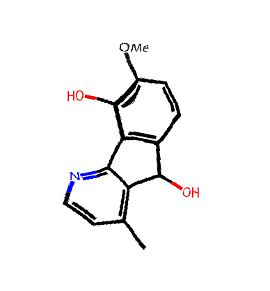 COc1ccc2c(c1O)-c1nccc(C)c1C2O